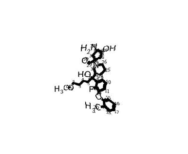 COCCCC[C@@](O)(c1cccc(Oc2ccccc2C)c1F)[C@@H]1CCCN([C@@]2(C=O)C[C@@H](N)[C@@H](O)C2)C1